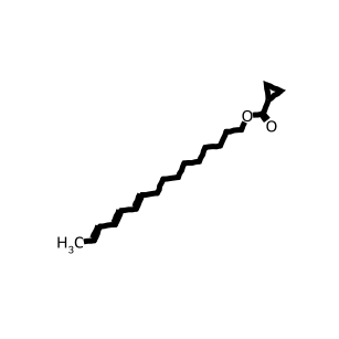 C/C=C/C=C/C=C/CCCCCCCCCOC(=O)C1CC1